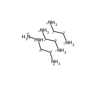 NCCN.NCCN.NCCNN